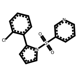 O=S(=O)(c1cccnc1)n1cccc1-c1ccccc1Cl